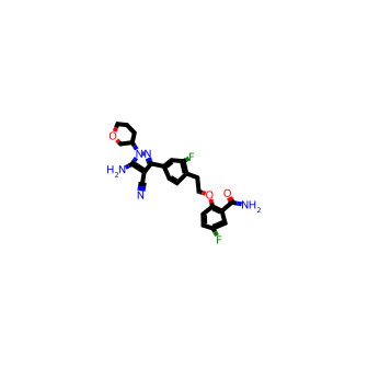 N#Cc1c(-c2ccc(CCOc3ccc(F)cc3C(N)=O)c(F)c2)nn(C2CCCOC2)c1N